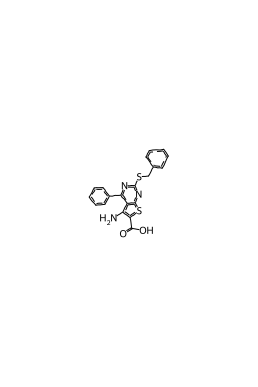 Nc1c(C(=O)O)sc2nc(SCc3ccccc3)nc(-c3ccccc3)c12